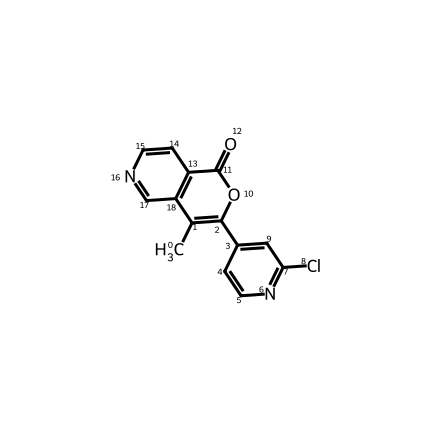 Cc1c(-c2ccnc(Cl)c2)oc(=O)c2ccncc12